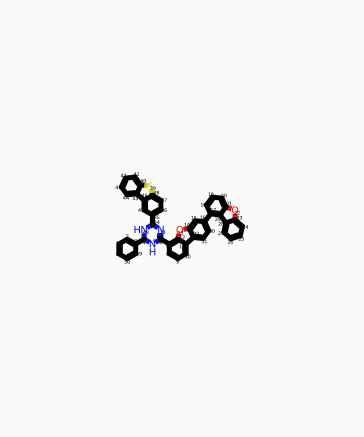 c1ccc(C2NC(c3cccc4c3oc3cc(-c5cccc6oc7ccccc7c56)ccc34)=NC(c3ccc4sc5ccccc5c4c3)N2)cc1